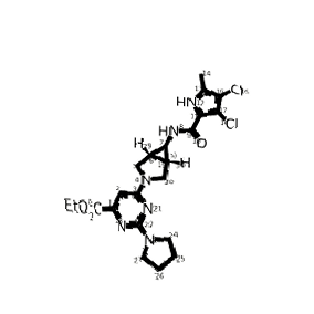 CCOC(=O)c1cc(N2C[C@@H]3C(NC(=O)c4[nH]c(C)c(Cl)c4Cl)[C@@H]3C2)nc(N2CCCC2)n1